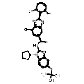 CC(C)(O)Cc1ccc2c(c1)nc(NC(=O)c1cc(Cl)c3[nH]c(-c4c(F)cccc4Cl)nc3c1)n2C1CCCC1